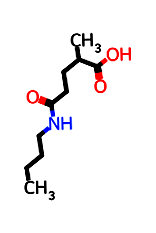 CCCCNC(=O)CCC(C)C(=O)O